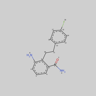 NC(=O)c1cccc(N)c1CCc1ccc(F)cc1